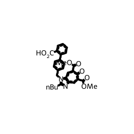 CCCCc1nc2cc(C(=O)OC)c(=O)c(C(=O)OC)cc2n1Cc1ccc(-c2ccccc2C(=O)O)cc1